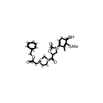 CSC1=C(C)C(N2CC(C(=O)N3CCN(CC(=O)OCc4ccccc4)CC3)OC2=O)=CCC1=N